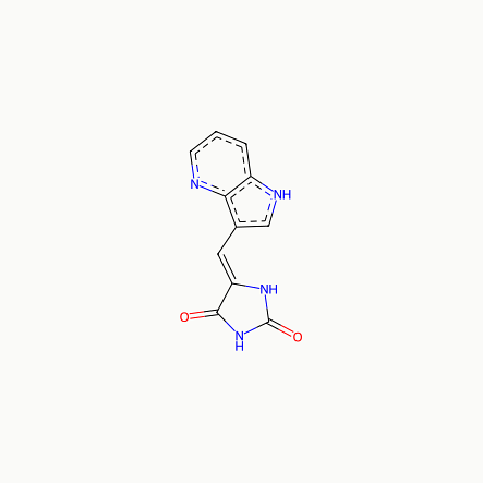 O=C1NC(=O)/C(=C/c2c[nH]c3cccnc23)N1